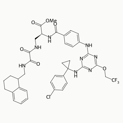 COC(=O)[C@H](CNC(=O)C(=O)NCC1CCCc2ccccc21)NC(=O)c1ccc(Nc2nc(NC3(c4ccc(Cl)cc4)CC3)nc(OCC(F)(F)F)n2)cc1